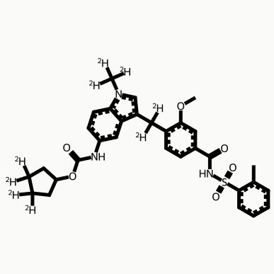 [2H]C([2H])(c1ccc(C(=O)NS(=O)(=O)c2ccccc2C)cc1OC)c1cn(C([2H])([2H])[2H])c2ccc(NC(=O)OC3CC([2H])([2H])C([2H])([2H])C3)cc12